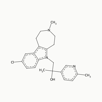 Cc1ccc(C(C)(O)Cn2c3c(c4cc(Cl)ccc42)CCN(C)CC3)cn1